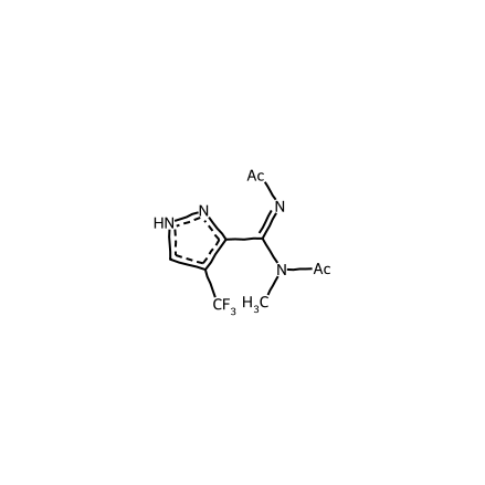 CC(=O)/N=C(\c1n[nH]cc1C(F)(F)F)N(C)C(C)=O